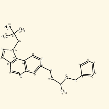 CC(OCc1ccccc1)OCc1ccc2c(c1)ncc1ncn(CC(C)(C)N)c12